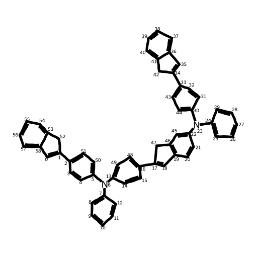 C1=C(c2ccc(N(c3ccccc3)c3ccc(C4=Cc5ccc(N(c6ccccc6)c6ccc(C7=Cc8ccccc8C7)cc6)cc5C4)cc3)cc2)Cc2ccccc21